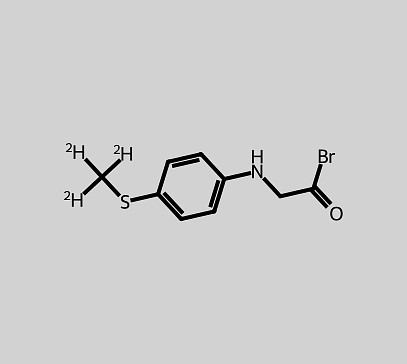 [2H]C([2H])([2H])Sc1ccc(NCC(=O)Br)cc1